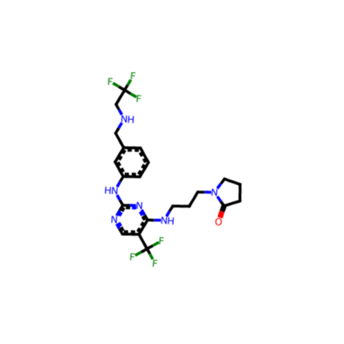 O=C1CCCN1CCCNc1nc(Nc2cccc(CNCC(F)(F)F)c2)ncc1C(F)(F)F